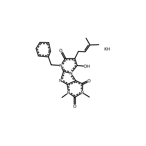 CC(C)=CCc1c(O)n2c3c(=O)n(C)c(=O)n(C)c3nc2n(Cc2ccccc2)c1=O.[KH]